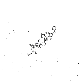 CCN1CCN(C(C)(C)/C=C(/C#N)C(=O)N2CCC[C@@H](n3nc(-c4ccc(Oc5ccccc5)cc4F)c4c(N)nccc43)C2)CC1=O